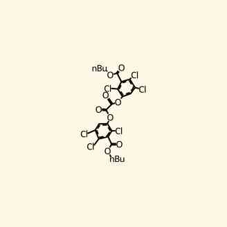 CCCCOC(=O)c1c(Cl)c(Cl)cc(OC(=O)C(=O)Oc2cc(Cl)c(Cl)c(C(=O)OCCCC)c2Cl)c1Cl